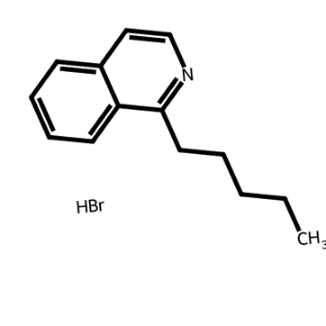 Br.CCCCCc1nccc2ccccc12